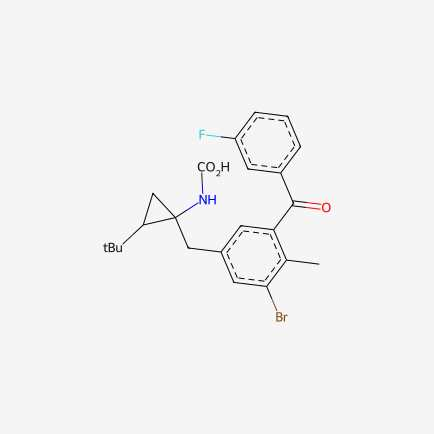 Cc1c(Br)cc(CC2(NC(=O)O)CC2C(C)(C)C)cc1C(=O)c1cccc(F)c1